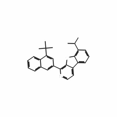 CC(C)c1cccc2c1oc1c(-c3cc(C(C)(C)C)c4ccccc4c3)nccc12